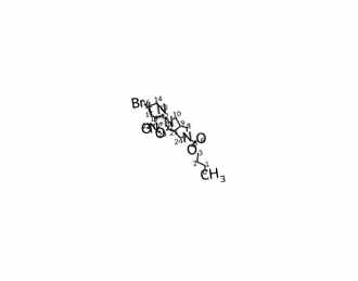 CCCCOC(=O)N1CC2CN(c3ncc(Br)cc3[N+](=O)[O-])CC2C1